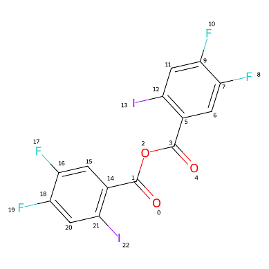 O=C(OC(=O)c1cc(F)c(F)cc1I)c1cc(F)c(F)cc1I